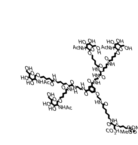 COP(=O)(OC)OCCCSC(CC(=O)O)C(=O)NCCCCCC(=O)NCCOc1cc(C(=O)NCCNC(=O)[C@H](CCCCNC(=O)CCCCOC2OC(CO)C(O)C(O)C2NC(C)=O)NC(=O)CCCCOC2OC(CO)C(O)C(O)C2NC(C)=O)cc(C(=O)NCCNC(=O)[C@H](CCCCNC(=O)CCCCOC2OC(CO)C(O)C(O)C2NC(C)=O)NC(=O)CCCCOC2OC(CO)C(O)C(O)C2NC(C)=O)c1